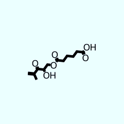 C=C(C)C(=O)C(O)COC(=O)CCCCC(=O)O